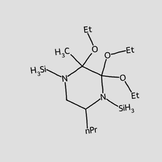 CCCC1CN([SiH3])C(C)(OCC)C(OCC)(OCC)N1[SiH3]